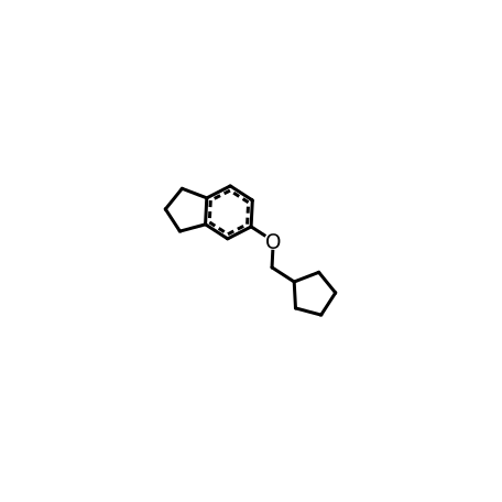 c1cc2c(cc1OCC1CCCC1)CCC2